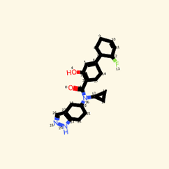 O=C(C1=C(O)C=C(C2CCC=CC2F)CC1)N(C1CC1)C1CCc2[nH]ncc2C1